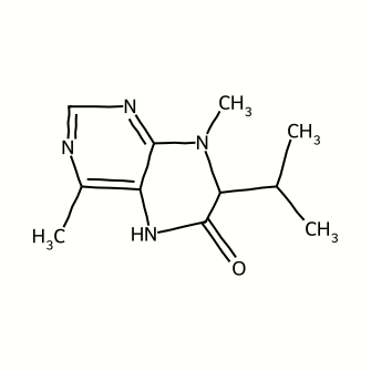 Cc1ncnc2c1NC(=O)C(C(C)C)N2C